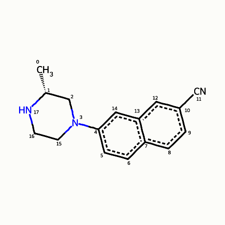 C[C@@H]1CN(c2ccc3ccc(C#N)cc3c2)CCN1